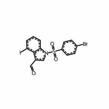 O=Cc1cn(S(=O)(=O)c2ccc(Br)cc2)c2cccc(I)c12